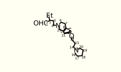 CCC(C=O)CCN1CCc2sc(OCCCN3CCCCC3)cc2C1